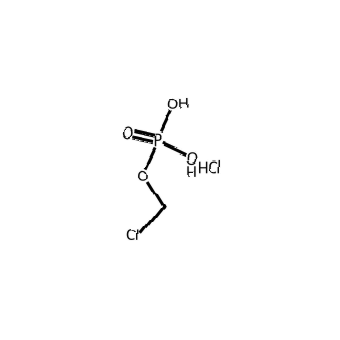 Cl.O=P(O)(O)OCCl